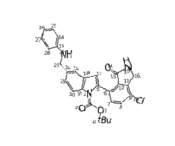 CC(C)(C)OC(=O)n1c(-c2ccc(Cl)c3c2C(=O)NC3)cc2cc(CNc3ccccc3)ccc21